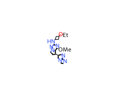 CCO[C@H]1C[C@@H](Nc2nc(OC)c3c(-c4cnc5nccn5c4)ccn3n2)C1